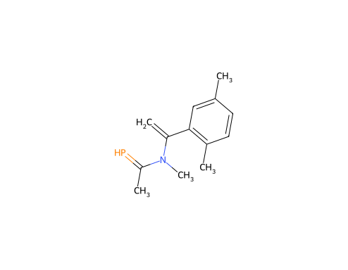 C=C(c1cc(C)ccc1C)N(C)C(C)=P